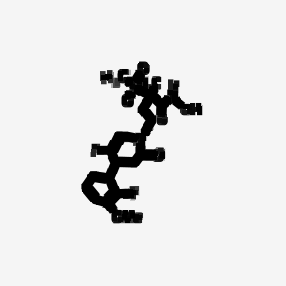 COc1cccc(-c2cc(=O)n(CCC(C)(C(=O)NO)S(C)(=O)=O)cc2F)c1F